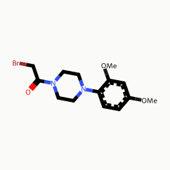 COc1ccc(N2CCN(C(=O)CBr)CC2)c(OC)c1